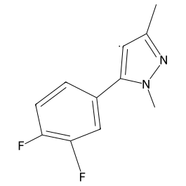 Cc1[c]c(-c2ccc(F)c(F)c2)n(C)n1